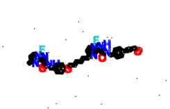 COCC#Cc1ccc(CNC(=O)c2nc(F)n3ccc(CCCCCCOc4ccc(CNC(=O)c5nc(F)n6ccc(C)nc56)cc4)nc23)cc1